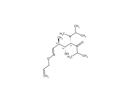 C=CCON=C[C@@H](C)[C@@H](O)[C@@H](C(=O)C(C)C)N(C)C(C)C